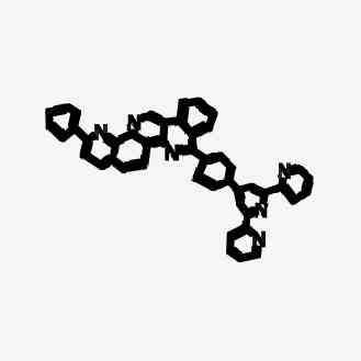 c1ccc(-c2ccc3ccc4c5nc(-c6ccc(-c7cc(-c8ccccn8)nc(-c8ccccn8)c7)cc6)c6ccccc6c5cnc4c3n2)cc1